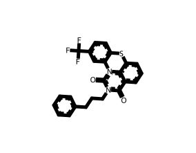 O=c1c2cccc3c2n(c(=O)n1CCCc1ccccc1)-c1cc(C(F)(F)F)ccc1S3